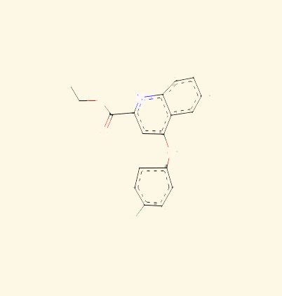 CCOC(=O)c1cc(Oc2ccc(Br)cc2)c2ccccc2n1